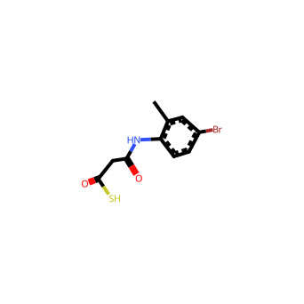 Cc1cc(Br)ccc1NC(=O)CC(=O)S